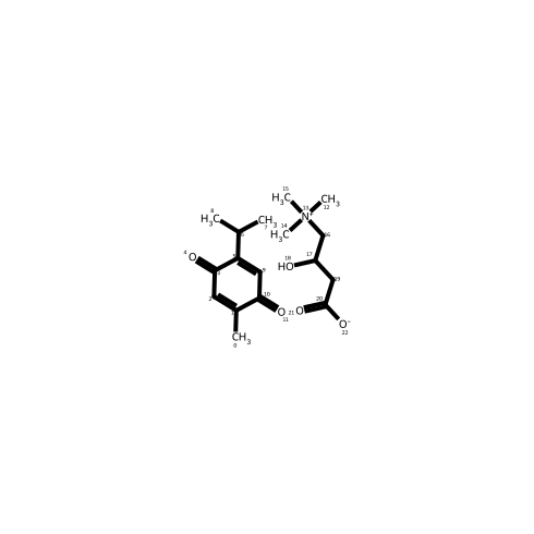 CC1=CC(=O)C(C(C)C)=CC1=O.C[N+](C)(C)CC(O)CC(=O)[O-]